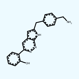 NCc1ccc(Cc2cc3cc(-c4ccccc4O)nnc3[nH]2)cc1